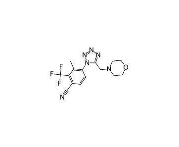 Cc1c(-n2nnnc2CN2CCOCC2)ccc(C#N)c1C(F)(F)F